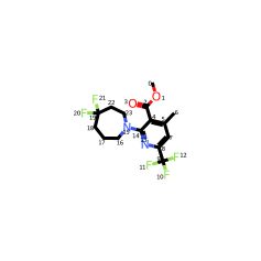 COC(=O)c1c(C)cc(C(F)(F)F)nc1N1CCCC(F)(F)CC1